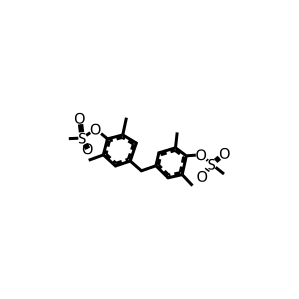 Cc1cc(Cc2cc(C)c(OS(C)(=O)=O)c(C)c2)cc(C)c1OS(C)(=O)=O